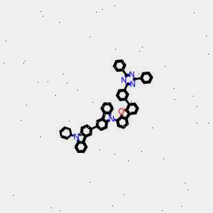 C1=CCC(n2c3ccccc3c3cc(-c4ccc5c(c4)c4ccccc4n5-c4cccc5c4oc4c(-c6cccc(-c7nc(-c8ccccc8)nc(-c8ccccc8)n7)c6)cccc45)ccc32)C=C1